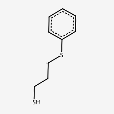 SCC[CH]Sc1ccccc1